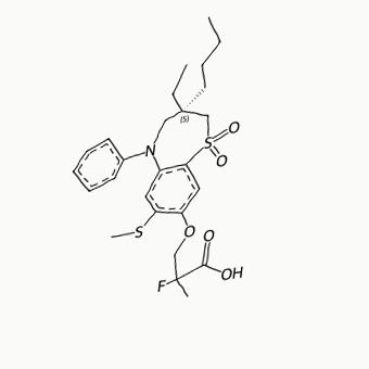 CCCC[C@@]1(CC)CN(c2ccccc2)c2cc(SC)c(OCC(C)(F)C(=O)O)cc2S(=O)(=O)C1